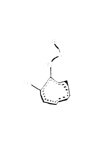 NNNc1ccccc1O